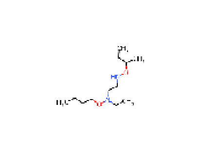 CCCCON(CC)C[CH]NOC(C)CC